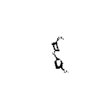 Cc1ccc(O[C@H]2C[C@H](C)C2)nc1